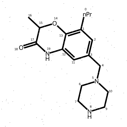 CCCc1cc(CN2CCNCC2)cc2c1OC(C)C(=O)N2